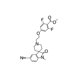 COC(=O)c1c(F)cc(OCCN2CCC3(CC2)C(=O)N(C)c2ccc(C#N)cc23)cc1F